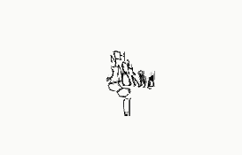 CN=C1SC2Cc3cc(Cl)ccc3C2(OC)N1C